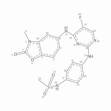 Cn1c(=O)oc2ccc(Nc3nc(Nc4ccc(NS(C)(=O)=O)cc4)ncc3F)cc21